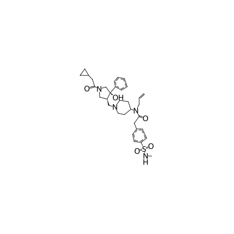 C=CCN(C(=O)Cc1ccc(S(=O)(=O)NC)cc1)C1CCN(C[C@H]2CN(C(=O)CC3CC3)C[C@]2(O)c2ccccc2)CC1